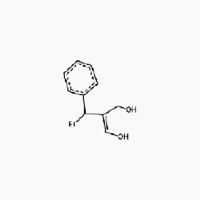 CCC(C(=CO)CO)c1ccccc1